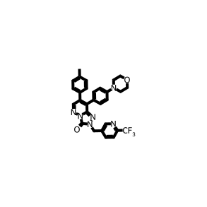 Cc1ccc(-c2cnn3c(=O)n(Cc4ccc(C(F)(F)F)nc4)nc3c2-c2ccc(N3CCOCC3)cc2)cc1